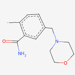 [CH2]c1ccc(CN2CCOCC2)cc1C(N)=O